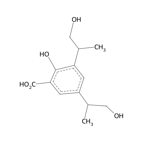 CC(CO)c1cc(C(=O)O)c(O)c(C(C)CO)c1